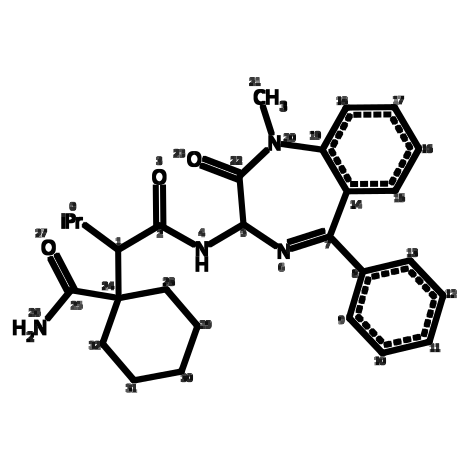 CC(C)C(C(=O)NC1N=C(c2ccccc2)c2ccccc2N(C)C1=O)C1(C(N)=O)CCCCC1